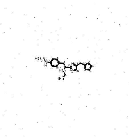 CC(C)(C)CNC(Cc1ccc(NS(=O)(=O)O)cc1)c1nc(Cc2cccs2)cs1